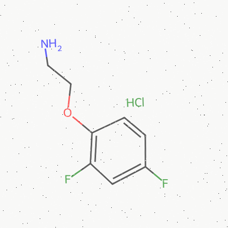 Cl.NCCOc1ccc(F)cc1F